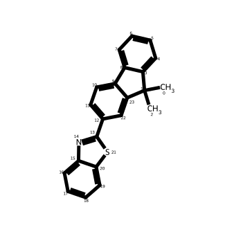 CC1(C)c2ccccc2-c2ccc(-c3nc4ccccc4s3)cc21